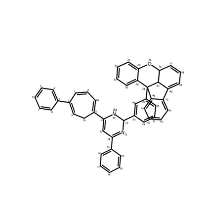 C1=CC(c2ccccc2)=CCC(C2=CC(c3ccccc3)=NC(c3cccc(C45c6ccccc6OC6C=CC=C(c7ccccc74)C65)c3)N2)=C1